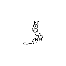 O=CC=CN1CCN(c2nccnc2Nc2ccc(OC(F)(F)F)nc2)CC1